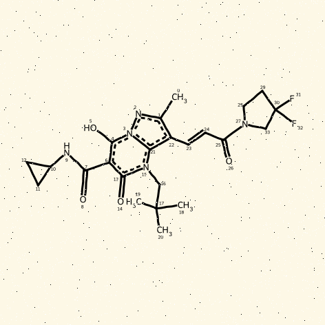 Cc1nn2c(O)c(C(=O)NC3CC3)c(=O)n(CC(C)(C)C)c2c1C=CC(=O)N1CCC(F)(F)C1